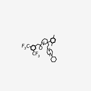 Cc1ccc(C)c(C2(CCN3CCN(C4CCCCC4)CC3)CCCN(C(=O)Cc3cc(C(F)(F)F)cc(C(F)(F)F)c3)C2)c1